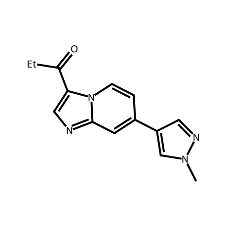 CCC(=O)c1cnc2cc(-c3cnn(C)c3)ccn12